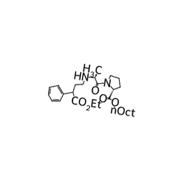 CCCCCCCCOC(=O)[C@@H]1CCCN1C(=O)[C@H](C)NCCC(C(=O)OCC)c1ccccc1